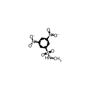 CNS(=O)(=O)c1cc([N+](=O)[O-])cc([N+](=O)[O-])c1